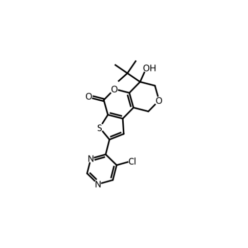 CC(C)(C)C1(O)COCc2c1oc(=O)c1sc(-c3ncncc3Cl)cc21